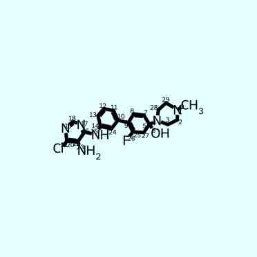 CN1CCN(C2(O)C=CC(c3cccc(Nc4ncnc(Cl)c4N)c3)=C(F)C2)CC1